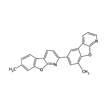 Cc1ccc2c(c1)oc1nc(-c3cc(C)c4oc5ncccc5c4c3)ccc12